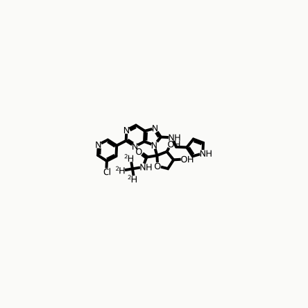 [2H]C([2H])([2H])NC(=O)C1(n2c(NCc3cc[nH]c3)nc3cnc(-c4cncc(Cl)c4)nc32)OCC(O)C1O